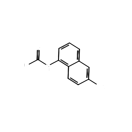 CC(C)C(=O)Nc1cccc2cc(C(=O)O)ccc12